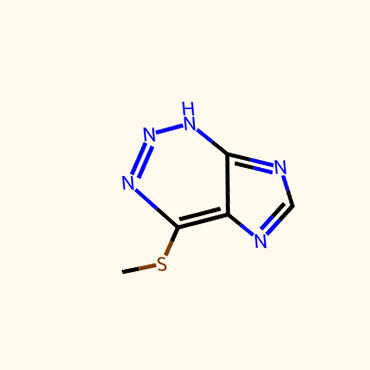 CSc1nn[nH]c2ncnc1-2